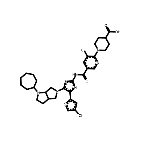 O=C(Nc1nc(-c2cc(Cl)cs2)c(N2CC3CCN(C4CCCCCC4)C3C2)s1)c1cnc(N2CCC(C(=O)O)CC2)c(Cl)c1